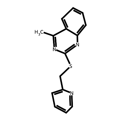 Cc1nc(SCc2ccccn2)nc2ccccc12